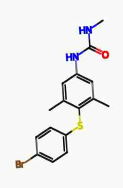 CNC(=O)Nc1cc(C)c(Sc2ccc(Br)cc2)c(C)c1